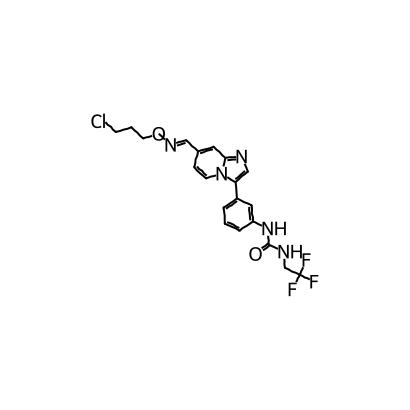 O=C(NCC(F)(F)F)Nc1cccc(-c2cnc3cc(/C=N/OCCCCl)ccn23)c1